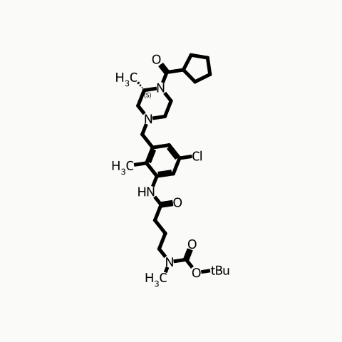 Cc1c(CN2CCN(C(=O)C3CCCC3)[C@@H](C)C2)cc(Cl)cc1NC(=O)CCCN(C)C(=O)OC(C)(C)C